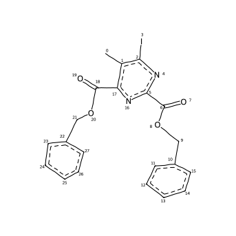 Cc1c(I)nc(C(=O)OCc2ccccc2)nc1C(=O)OCc1ccccc1